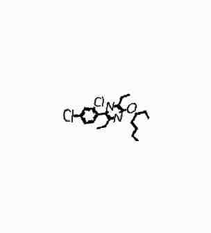 CCCCC(CC)Oc1nc(CC)c(-c2ccc(Cl)cc2Cl)nc1CC